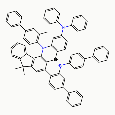 Cc1cc(-c2ccccc2)ccc1N1c2cc(N(c3ccccc3)c3ccccc3)ccc2Bc2c(-c3ccc(-c4ccccc4)cc3Nc3ccc(-c4ccccc4)cc3)cc3c(c21)-c1ccccc1C3(C)C